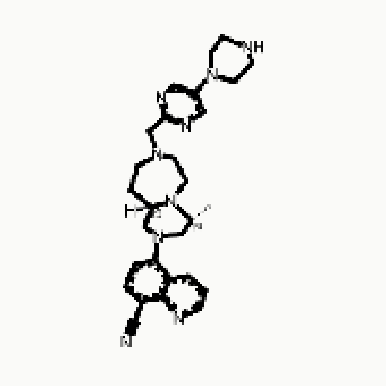 C[C@@H]1CN(c2ccc(C#N)c3ncccc23)C[C@@H]2CCN(Cc3ncc(N4CCNCC4)cn3)CCN21